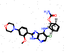 COc1cc(N2CCOCC2)ccc1-c1nc2c(N[C@H]3[C@@H](OC(N)=O)[C@@H]4C=C[C@H]3C4)c(Cl)cnc2[nH]1